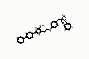 CCOC(=O)C(C)(Cc1ccc(OCCc2nc(-c3ccc(-c4ccccc4)cc3)oc2C)cc1)Oc1ccccc1